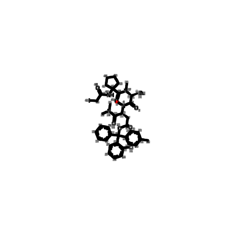 CC[C@H](C)[C@@H](C(=O)N(C)[C@@H](CC(=O)OC(c1ccccc1)(c1ccc(C)cc1)c1ccccc1Cl)C(=O)N(C)C)N(C)C(=O)C1(NC(=O)CI)CCCC1